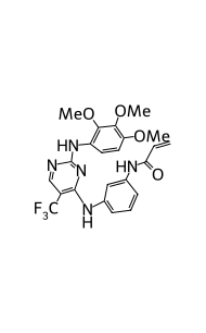 C=CC(=O)Nc1cccc(Nc2nc(Nc3ccc(OC)c(OC)c3OC)ncc2C(F)(F)F)c1